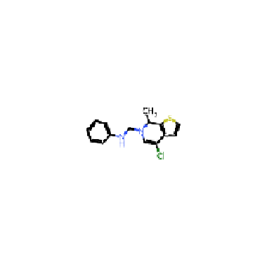 CC1c2sccc2C(Cl)=CN1CNc1ccccc1